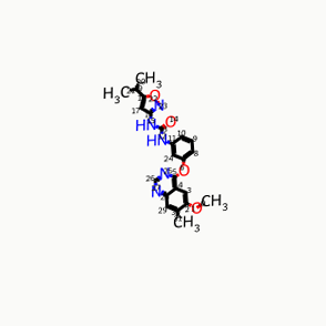 COc1cc2c(Oc3cccc(NC(=O)Nc4cc(C(C)C)on4)c3)ncnc2cc1C